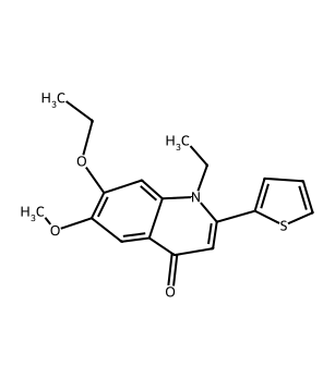 CCOc1cc2c(cc1OC)c(=O)cc(-c1cccs1)n2CC